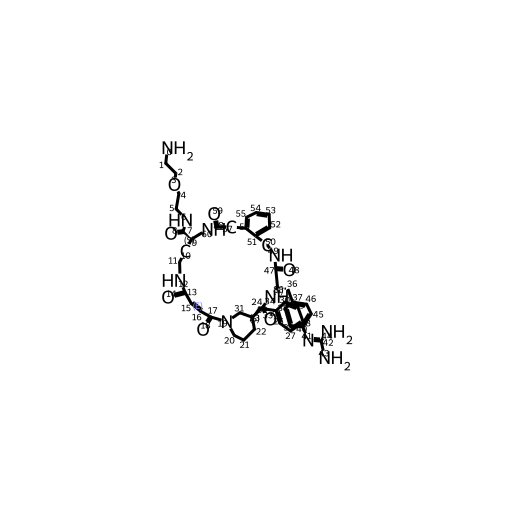 NCCOCCNC(=O)[C@@H]1CCNC(=O)/C=C/C(=O)N2CCC[C@](Cc3ccccc3)(C2)C(=O)N[C@@H](Cc2ccc(N=C(N)N)cc2)C(=O)NCc2ccccc2CC(=O)N1